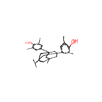 Cc1cc(C23CC4(C)CC(c5cc(C)c(O)c(C)c5)(C2)CC(C(C)C)(C4)C3)cc(C)c1O